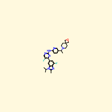 Cc1nc2c(F)cc(-c3nc(Nc4ccc(C(C)N5CCC6(CC5)COC6)cn4)ncc3F)cc2n1C(C)C